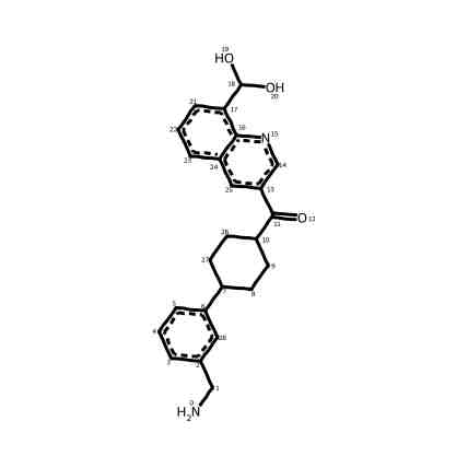 NCc1cccc(C2CCC(C(=O)c3cnc4c(C(O)O)cccc4c3)CC2)c1